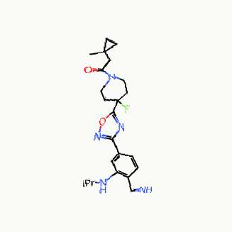 CC(C)Nc1cc(-c2noc(C3(F)CCN(C(=O)CC4(C)CC4)CC3)n2)ccc1C=N